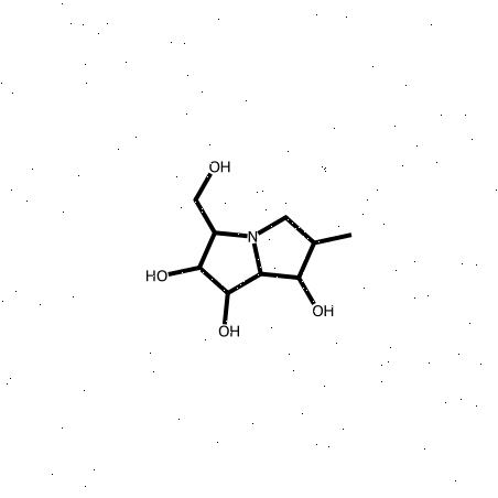 CC1CN2C(CO)C(O)C(O)C2C1O